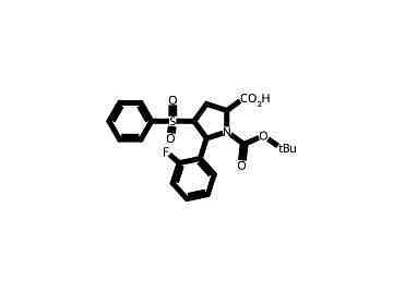 CC(C)(C)OC(=O)N1C(C(=O)O)CC(S(=O)(=O)c2ccccc2)C1c1ccccc1F